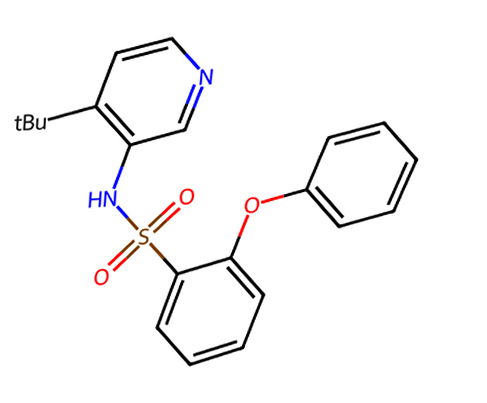 CC(C)(C)c1ccncc1NS(=O)(=O)c1ccccc1Oc1ccccc1